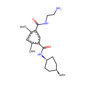 CN[C@H]1CC[C@@H](NC(=O)c2cc(C(=O)NCCN)c(OC)cc2OC)CC1